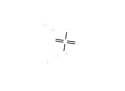 O=S(=O)(O)O.[KH].[KH].[KH].[KH]